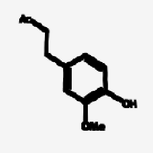 COc1cc(CCC(C)=O)ccc1O